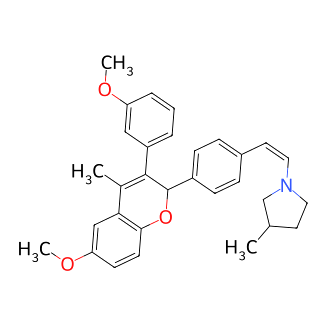 COc1cccc(C2=C(C)c3cc(OC)ccc3OC2c2ccc(/C=C\N3CCC(C)C3)cc2)c1